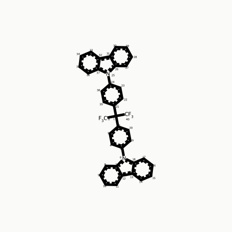 FC(F)(F)C(c1ccc(-n2c3ccccc3c3ccccc32)cc1)(c1ccc(-n2c3ccccc3c3ccccc32)cc1)C(F)(F)F